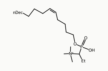 CCCCCCCCCCCCC/C=C\CCCCOP(=O)(O)C(CC)[N+](C)(C)C